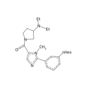 CCCCCCc1cccc(-c2ncc(C(=O)N3CCC(N(CC)CC)C3)n2C)c1